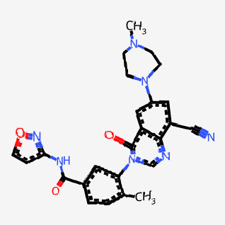 Cc1ccc(C(=O)Nc2ccon2)cc1-n1cnc2c(C#N)cc(N3CCN(C)CC3)cc2c1=O